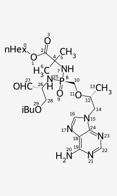 CCCCCCOC(=O)C(C)(C)N[P@@](=O)(CO[C@H](C)Cn1cnc2c(N)ncnc21)N[C@@H](C=O)COCC(C)C